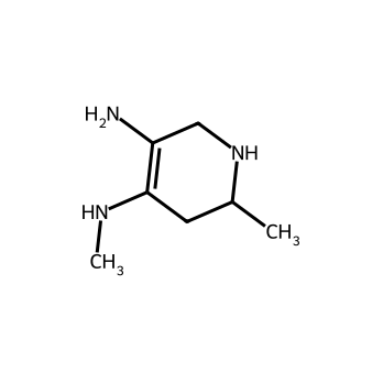 CNC1=C(N)CNC(C)C1